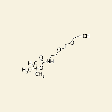 C#CCOCCOCCNC(=O)OC(C)(C)C